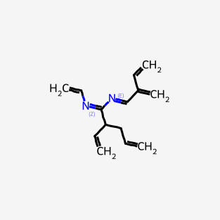 C=CCC(C=C)C(=N/C=C)/N=C/C(=C)C=C